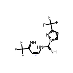 N=C(N/C=C\C(=N)C(F)(F)F)n1ccc(C(F)(F)F)n1